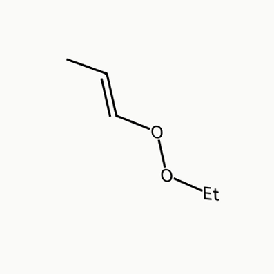 C/C=C/OOCC